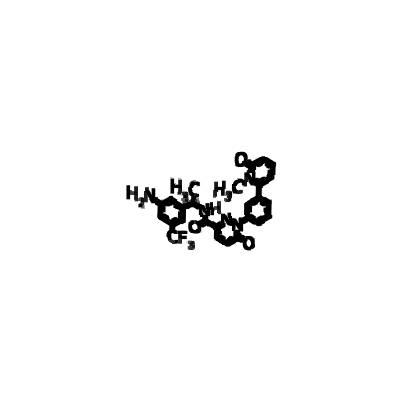 C[C@@H](NC(=O)c1ccc(=O)n(-c2cccc(-c3cccc(=O)n3C)c2)n1)c1cc(N)cc(C(F)(F)F)c1